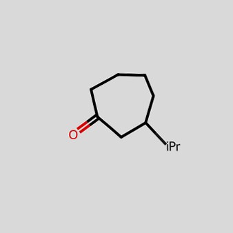 CC(C)C1CCCCC(=O)C1